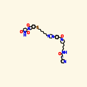 O=C(/C=C/c1cccnc1)NCCCCC1CCN(C(=O)c2ccc(N3CCN(CCCCCCCSc4ccc5c(c4)CN(C4CCC(=O)NC4=O)C5=O)CC3)cc2)CC1